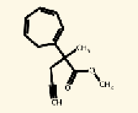 C#CCC(C)(C(=O)OC)C1=CC=CC=CC1